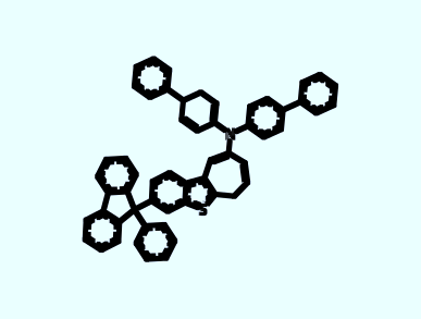 C1=CC(N(C2=CCC(c3ccccc3)C=C2)c2ccc(-c3ccccc3)cc2)=Cc2c(sc3cc(C4(c5ccccc5)c5ccccc5-c5ccccc54)ccc23)C1